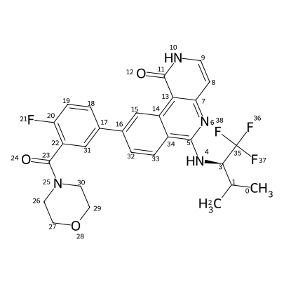 CC(C)[C@@H](Nc1nc2cc[nH]c(=O)c2c2cc(-c3ccc(F)c(C(=O)N4CCOCC4)c3)ccc12)C(F)(F)F